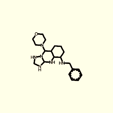 c1ccc(CNC2CCCC3C2NC2NCNN2C3N2CCOCC2)cc1